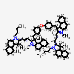 CCCCN1/C(=C/C=C/C2=[N+](C)c3ccc4ccccc4c3C2(C)Cc2ccc(Oc3ccc(CC4(C)C(/C=C/C=C5/N(CCCC)c6ccc7ccccc7c6C5(C)C)=[N+](C)c5ccc6ccccc6c54)cc3)cc2)C(C)(C)c2c1ccc1ccccc21